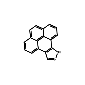 c1cc2ccc3cccc4c5[nH]ncc5c(c1)c2c34